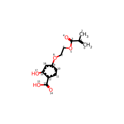 C=C(C)C(=O)OCCOc1ccc(C(=O)O)c(O)c1